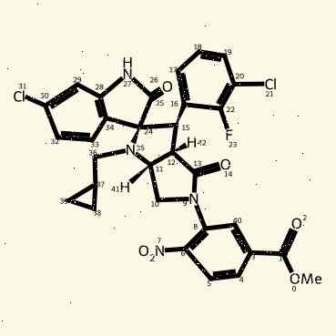 COC(=O)c1ccc([N+](=O)[O-])c(N2C[C@H]3[C@@H](C2=O)[C@H](c2cccc(Cl)c2F)[C@]2(C(=O)Nc4cc(Cl)ccc42)N3CC2CC2)c1